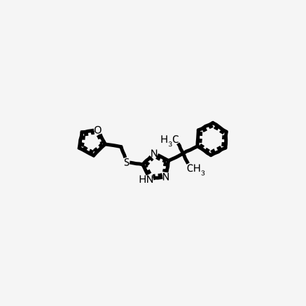 CC(C)(c1ccccc1)c1n[nH]c(SCc2ccco2)n1